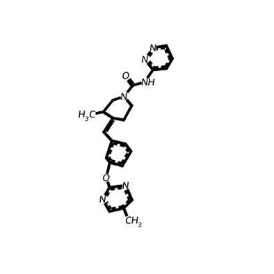 Cc1cnc(Oc2cccc(/C=C3\CCN(C(=O)Nc4cccnn4)CC3C)c2)nc1